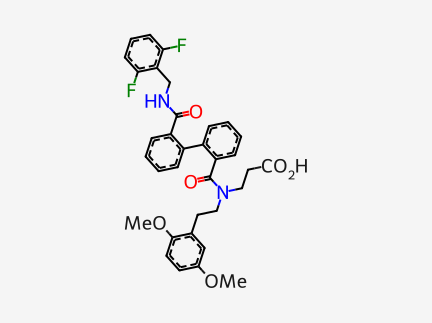 COc1ccc(OC)c(CCN(CCC(=O)O)C(=O)c2ccccc2-c2ccccc2C(=O)NCc2c(F)cccc2F)c1